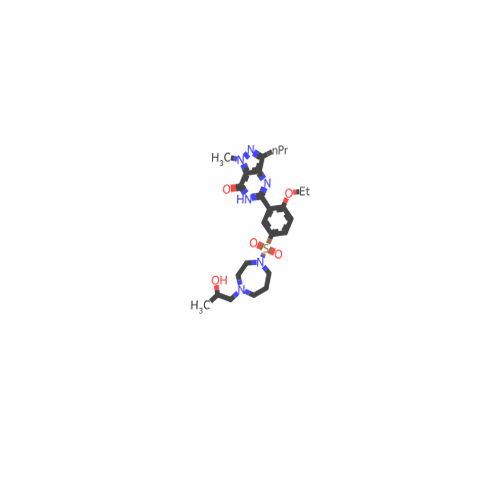 CCCc1nn(C)c2c(=O)[nH]c(-c3cc(S(=O)(=O)N4CCCN(CC(C)O)CC4)ccc3OCC)nc12